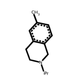 Cc1ccc2c(c1)CCN(C(C)C)C2